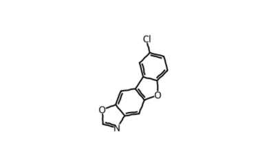 Clc1ccc2oc3cc4ncoc4cc3c2c1